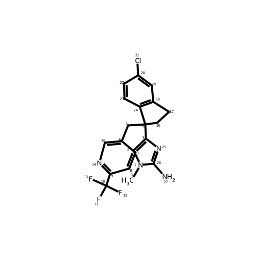 Cn1cc(C2(Cc3ccc(C(F)(F)F)nc3)CCc3cc(Cl)ccc32)nc1N